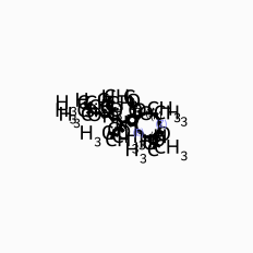 COCOc1cc(N(CCN(CCO[Si](C)(C)C(C)(C)C)C(=O)OC(C)(C)C)C(=O)OC(C)(C)C)cc2c1C(=O)O[C@@H](C)[C@H](C)/C=C\C(=O)[C@H]1OC(C)(C)O[C@H]1C/C=C/2